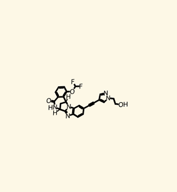 O=C1N[C@@H]2C[C@H](c3c(OC(F)F)cccc31)n1c2nc2ccc(C#Cc3cnn(CCO)c3)cc21